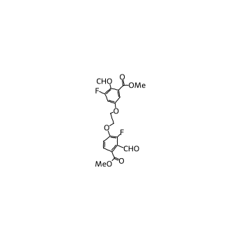 COC(=O)c1cc(OCCOc2ccc(C(=O)OC)c(C=O)c2F)cc(F)c1C=O